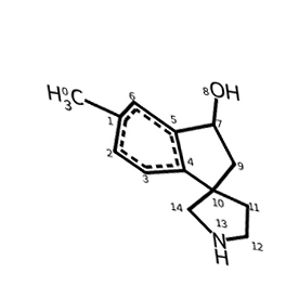 Cc1ccc2c(c1)C(O)CC21CCNC1